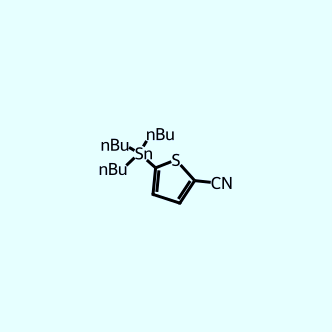 CCC[CH2][Sn]([CH2]CCC)([CH2]CCC)[c]1ccc(C#N)s1